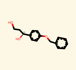 OCC[C@H](O)c1ccc(OCc2ccccc2)cc1